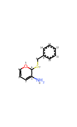 NC1=CC=COC1SCc1ccccc1